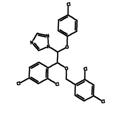 Clc1ccc(OC(C(OCc2ccc(Cl)cc2Cl)c2ccc(Cl)cc2Cl)n2cncn2)cc1